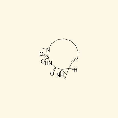 CN1CCCCCC/C=C/[C@@H]2C[C@]2(N)C(=O)NS1(=O)=O